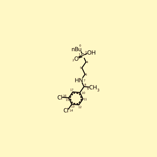 CCCCP(=O)(O)CCCNC(C)c1ccc(Cl)c(Cl)c1